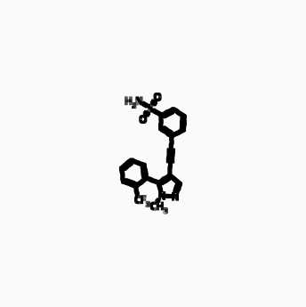 Cn1ncc(C#Cc2cccc(S(N)(=O)=O)c2)c1-c1ccccc1C(F)(F)F